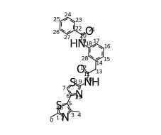 Cc1nc(C)c(-c2csc(NC(=O)Cc3cccc(NC(=O)c4ccccc4)c3)n2)s1